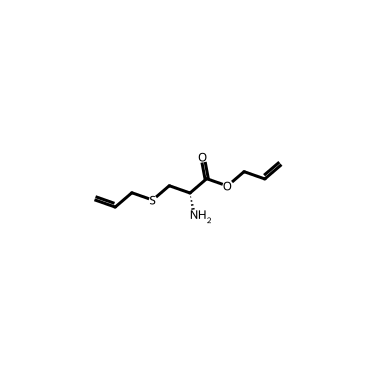 C=CCOC(=O)[C@H](N)CSCC=C